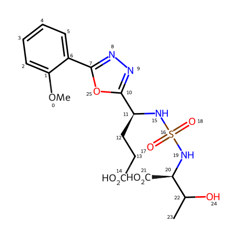 COc1ccccc1-c1nnc([C@H](CCC(=O)O)NS(=O)(=O)N[C@H](C(=O)O)C(C)O)o1